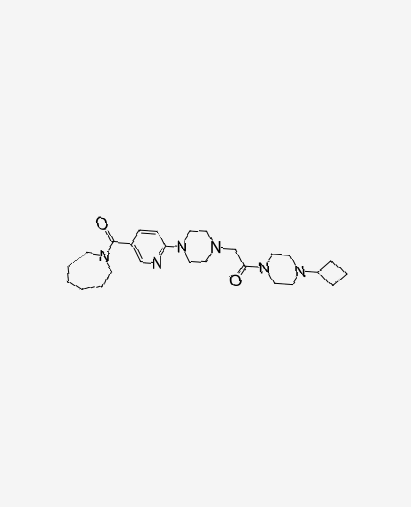 O=C(CN1CCN(c2ccc(C(=O)N3CCCCCC3)cn2)CC1)N1CCN(C2CCC2)CC1